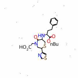 CCCCOC(=O)C(CCc1ccccc1)NC1CSC(c2cscn2)CN(CC(=O)O)C1=O